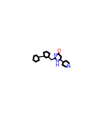 O=c1cc(-c2ccncc2)[nH]c(Cc2cccc(-c3ccccc3)c2)n1